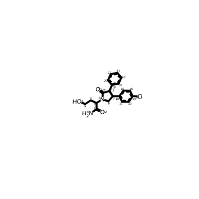 NC(=O)C(CCO)N1CC(c2ccc(Cl)cc2)C(c2ccccc2)C1=O